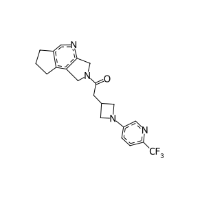 O=C(CC1CN(c2ccc(C(F)(F)F)nc2)C1)N1Cc2ncc3c(c2C1)CCC3